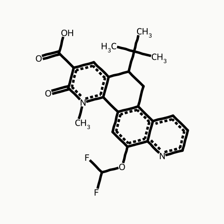 Cn1c2c(cc(C(=O)O)c1=O)C(C(C)(C)C)Cc1c-2cc(OC(F)F)c2ncccc12